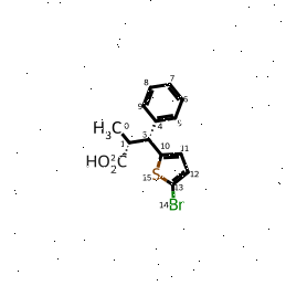 C[C@@H](C(=O)O)[C@H](c1ccccc1)c1ccc(Br)s1